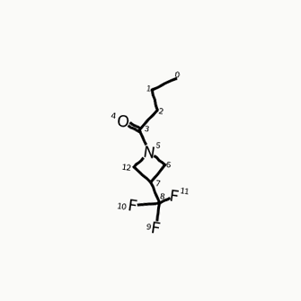 CCCC(=O)N1CC(C(F)(F)F)C1